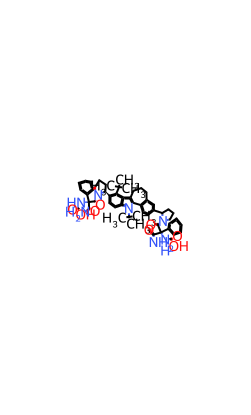 CC(C)(C)c1c([C@@H]2CCCN2C(=O)[C@](NC(=O)O)(C(N)=O)c2ccccc2)ccc2c1c1c(n2C(C)(C)C)-c2ccc(C3CCCN3C(=O)C(NC(=O)O)(C(N)=O)c3ccccc3)cc2CCC1